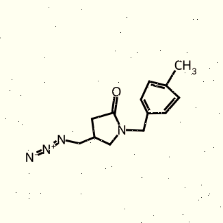 Cc1ccc(CN2CC(CN=[N+]=[N-])CC2=O)cc1